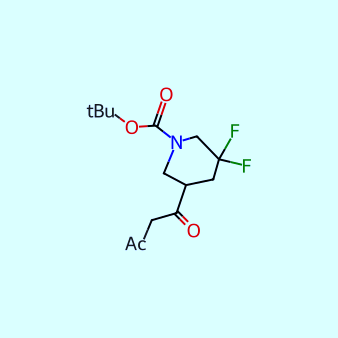 CC(=O)CC(=O)C1CN(C(=O)OC(C)(C)C)CC(F)(F)C1